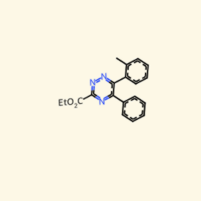 CCOC(=O)c1nnc(-c2ccccc2C)c(-c2ccccc2)n1